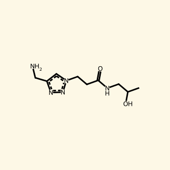 CC(O)CNC(=O)CCn1cc(CN)nn1